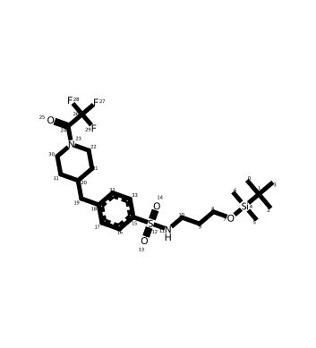 CC(C)(C)[Si](C)(C)OCCCNS(=O)(=O)c1ccc(CC2CCN(C(=O)C(F)(F)F)CC2)cc1